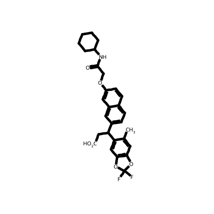 Cc1cc2c(cc1C(CC(=O)O)c1ccc3ccc(OCC(=O)NC4CCCCC4)cc3c1)OC(F)(F)O2